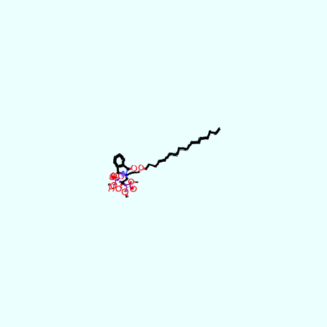 CCCCCCCCCCCCCCCCOCCCOP(=O)(OC)C(O)(CN1C(=O)c2ccccc2C1=O)P(=O)(OC)OC